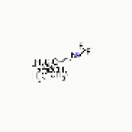 CC(C)(C)[Si](C)(C)OCCC/N=C/C(F)F